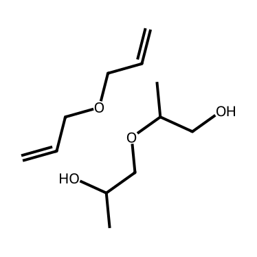 C=CCOCC=C.CC(O)COC(C)CO